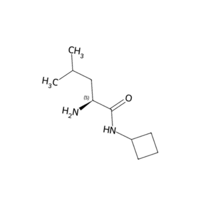 CC(C)C[C@H](N)C(=O)NC1CCC1